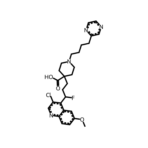 COc1ccc2ncc(Cl)c(C(F)CCC3(C(=O)O)CCN(CCCCc4cnccn4)CC3)c2c1